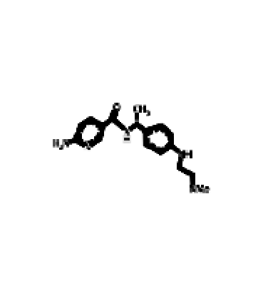 CNCCNc1ccc([C@H](C)NC(=O)c2ccc(N)nc2)cc1